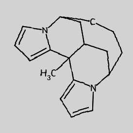 CC12c3cccn3C3CCCC(CC1C3)n1cccc12